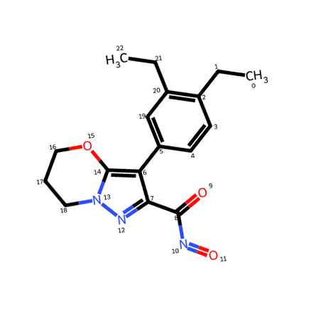 CCc1ccc(-c2c(C(=O)N=O)nn3c2OCCC3)cc1CC